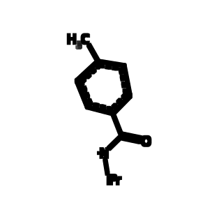 Cc1ccc(C(=O)[N]C(C)C)cc1